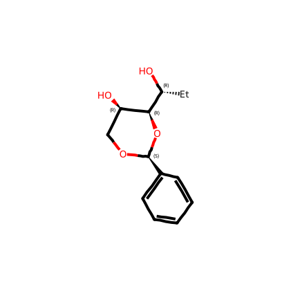 CC[C@@H](O)[C@H]1O[C@@H](c2ccccc2)OC[C@H]1O